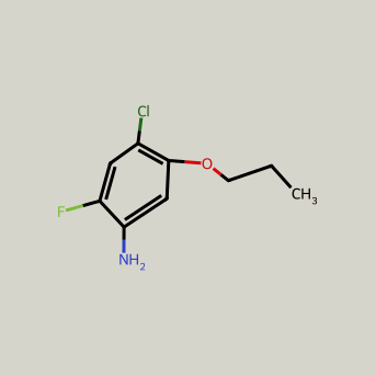 CCCOc1cc(N)c(F)cc1Cl